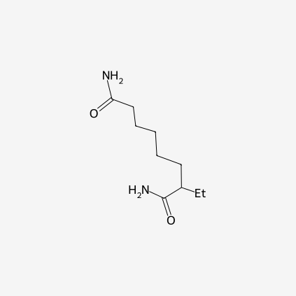 CCC(CCCCCC(N)=O)C(N)=O